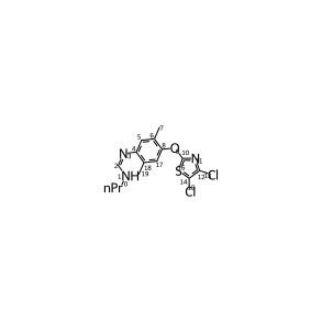 CCCN/C=N\c1cc(C)c(Oc2nc(Cl)c(Cl)s2)cc1C